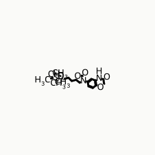 CC(C)(C)[Si](C)(C)OCCCC1CN(c2ccc3c(c2)NC(=O)CO3)C(=O)O1